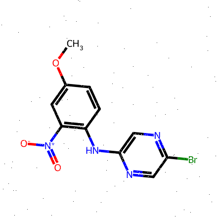 COc1ccc(Nc2cnc(Br)cn2)c([N+](=O)[O-])c1